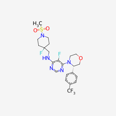 CS(=O)(=O)N1CCC(F)(CNc2ncnc(N3CCOC[C@@H]3c3ccc(C(F)(F)F)cc3)c2F)CC1